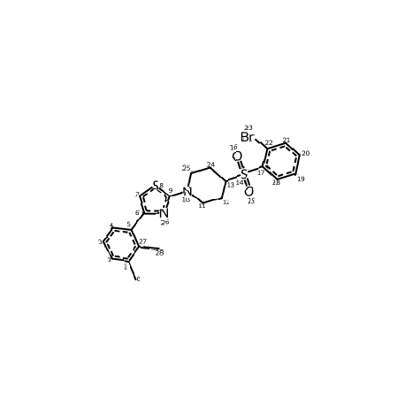 Cc1cccc(-c2csc(N3CCC(S(=O)(=O)c4ccccc4Br)CC3)n2)c1C